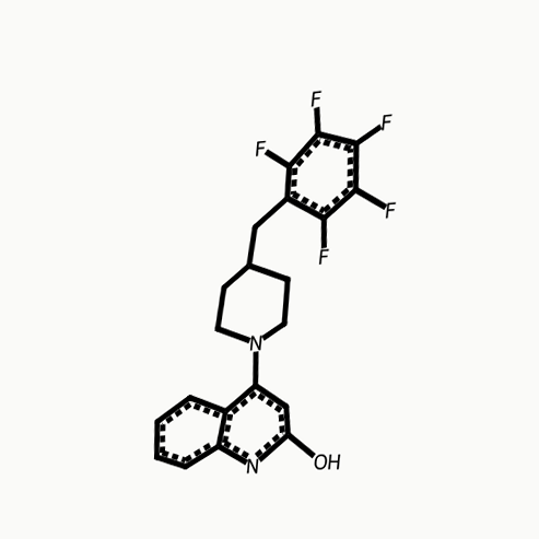 Oc1cc(N2CCC(Cc3c(F)c(F)c(F)c(F)c3F)CC2)c2ccccc2n1